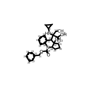 CCC(NC1CC1)(C(=O)O)C1c2ccccc2N(C(=O)OCc2ccccc2)C2CCCC21C